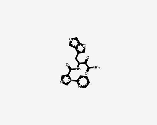 NC(=O)C(=O)C(Cc1coc2cocc12)NC(=O)c1cncn1-c1ccccn1